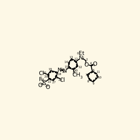 CCN(COC(=O)c1ccccc1)c1ccc(N=Nc2cc(Cl)c(S(=O)(=O)F)cc2Cl)c(C)c1